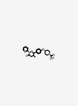 CC1CC(=O)N(c2ccccn2)N=C1c1ccc(OC2CCN(C(=O)O)CC2)cc1